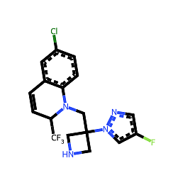 Fc1cnn(C2(CN3c4ccc(Cl)cc4C=CC3C(F)(F)F)CNC2)c1